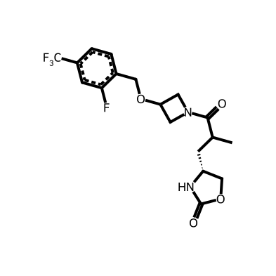 CC(C[C@@H]1COC(=O)N1)C(=O)N1CC(OCc2ccc(C(F)(F)F)cc2F)C1